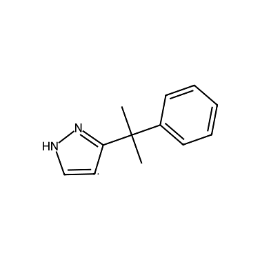 CC(C)(c1ccccc1)c1[c]c[nH]n1